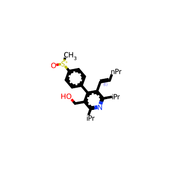 CCC/C=C/c1c(C(C)C)nc(C(C)C)c(CO)c1-c1ccc([S+](C)[O-])cc1